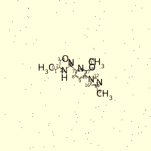 CCC1CON=C(c2ccc(-n3cnc(C)c3)c(OC)n2)N1